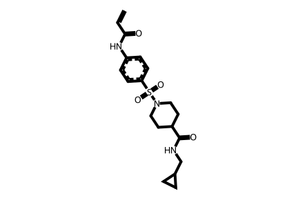 C=CC(=O)Nc1ccc(S(=O)(=O)N2CCC(C(=O)NCC3CC3)CC2)cc1